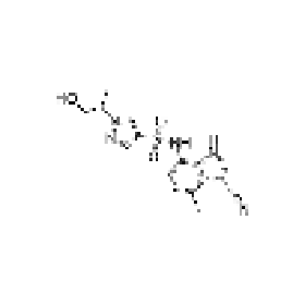 Cc1ccc(NS(=O)(=O)c2cnn(C(C)CO)c2)c2[nH]cc(C#N)c12